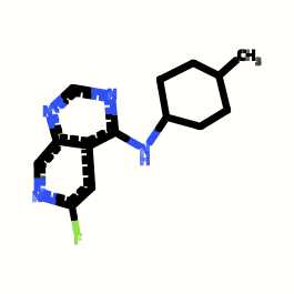 CC1CCC(Nc2ncnc3cnc(F)cc23)CC1